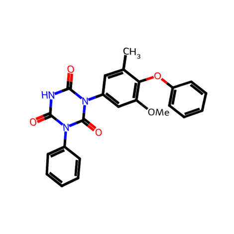 COc1cc(-n2c(=O)[nH]c(=O)n(-c3ccccc3)c2=O)cc(C)c1Oc1ccccc1